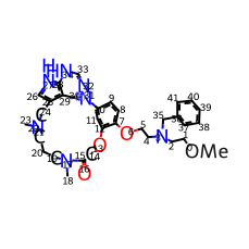 COCCN(CCOc1ccc2cc1OCC(=O)N(C)CCCN(C)Cc1c[nH]c3c1/C(=N\2)N=CN3)Cc1ccccc1